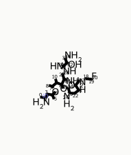 C/C(N)=C/C(C)OC(C)C(C)C(OC1OC(CNCCF)CCC1N)C(N)CNC(=N)C(O)CN